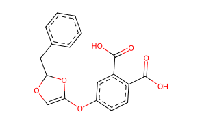 O=C(O)c1ccc(OC2=COC(Cc3ccccc3)O2)cc1C(=O)O